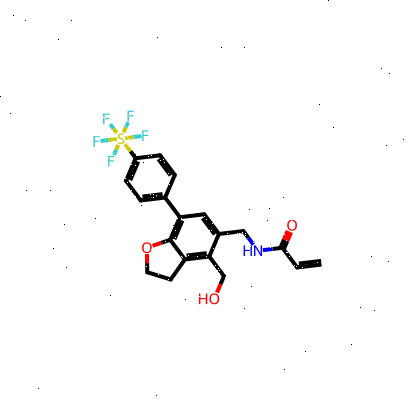 C=CC(=O)NCc1cc(-c2ccc(S(F)(F)(F)(F)F)cc2)c2c(c1CO)CCO2